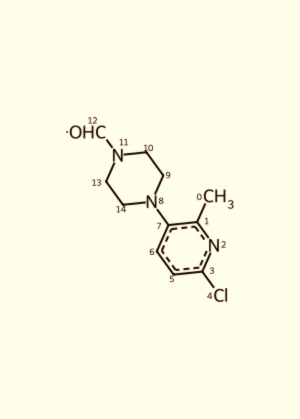 Cc1nc(Cl)ccc1N1CCN([C]=O)CC1